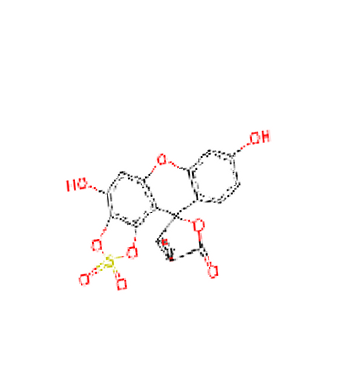 O=C1OC2(c3ccc(O)cc3Oc3cc(O)c4c(c32)OS(=O)(=O)O4)c2ccccc21